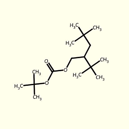 CC(C)(C)CC(COC(=O)OC(C)(C)C)C(C)(C)C